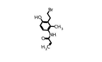 C=CC(=O)Nc1ccc(O)c(CCBr)c1C